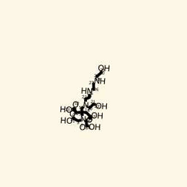 O=C(O)CN(CC(=O)O)C(CC(=O)O)(CC(=O)O)CN(CCO)CCNCCNCCO